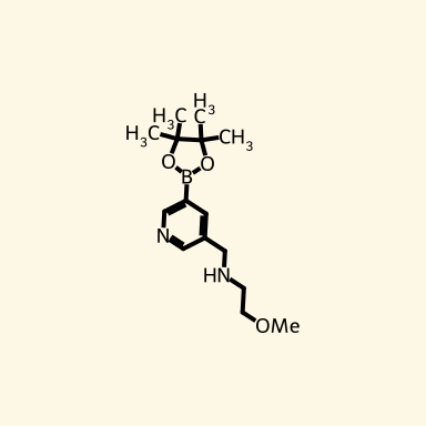 COCCNCc1cncc(B2OC(C)(C)C(C)(C)O2)c1